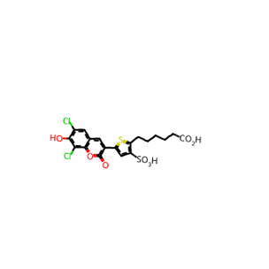 O=C(O)CCCCCc1sc(-c2cc3cc(Cl)c(O)c(Cl)c3oc2=O)cc1S(=O)(=O)O